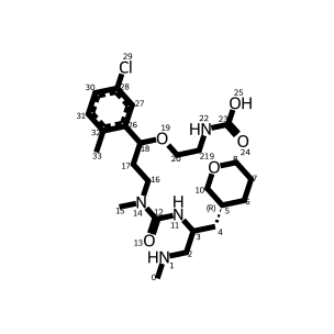 CNCC(C[C@H]1CCCOC1)NC(=O)N(C)CCC(OCCNC(=O)O)c1cc(Cl)ccc1C